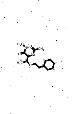 CNC(=O)C(NC(C)=O)C(C)OCCC1CCCCC1